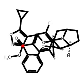 COC(=O)c1cc(F)c(N2C3CC[C@H]2CC(OCc2c(-c4ccccc4OC(F)(F)F)noc2C2CC2)C3)c(F)c1